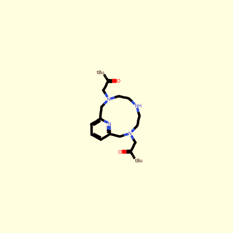 CC(C)(C)C(=O)CN1CCNCCN(CC(=O)C(C)(C)C)Cc2cccc(n2)C1